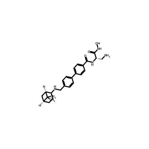 CC1(C)[C@H]2CCC(NCc3ccc(-c4ccc(C(=O)N[C@@H](CN)C(=O)NO)cc4)cc3)[C@@H]1C2